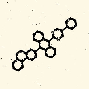 c1ccc(-c2cnc(-c3c4ccccc4c(-c4ccc5c(ccc6ccccc65)c4)c4ccccc34)nc2)cc1